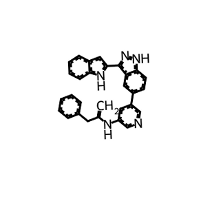 C=C(Cc1ccccc1)Nc1cncc(-c2ccc3[nH]nc(-c4cc5ccccc5[nH]4)c3c2)c1